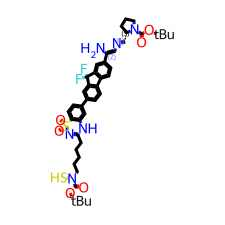 CC(C)(C)OC(=O)N(S)CCCCCC1=NS(=O)(=O)c2ccc(-c3ccc4c(c3)C(F)(F)c3cc(/C(N)=C/N=C/[C@@H]5CCCN5C(=O)OC(C)(C)C)ccc3-4)cc2N1